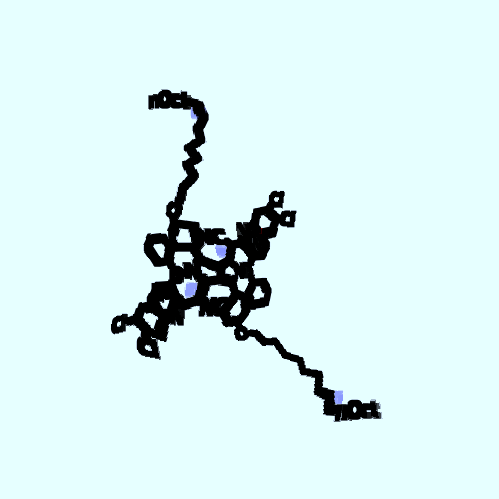 [C-]#[N+]/C(c1cnc2cc(Cl)c(Cl)cc2n1)=c1\c2c(-c3ccc(OCCCCCCCC/C=C/CCCCCCCC)cc3)n(B(c3ccccc3)c3ccccc3)/c(=C(/C#N)c3cnc4cc(Cl)c(Cl)cc4n3)c2c(-c2ccc(OCCCCCCCC/C=C\CCCCCCCC)cc2)n1B(c1ccccc1)c1ccccc1